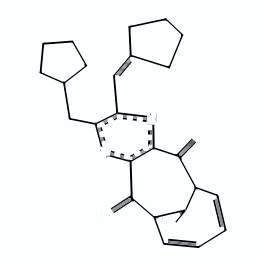 O=C1c2nc(C=C3CCCC3)c(CC3CCCC3)nc2C(=O)[C@]23C=CC=CC1C2C3